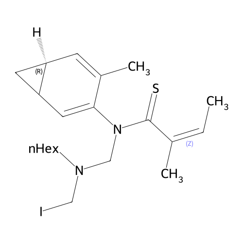 C/C=C(/C)C(=S)N(CN(CI)CCCCCC)C1=CC2C[C@H]2C=C1C